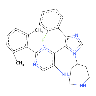 Cc1cccc(C)c1-c1ncc(N)c(-c2c(-c3ccccc3F)ncn2C2CCNCC2)n1